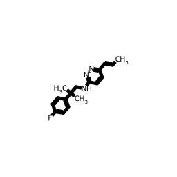 C/C=C/c1ccc(NCC(C)(C)c2ccc(F)cc2)nn1